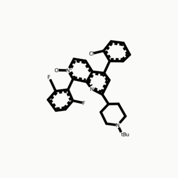 CC(C)(C)N1CCC(c2cc(-c3ccccc3Cl)c3cc[n+]([O-])c(-c4c(F)cccc4F)c3n2)CC1